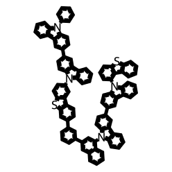 c1ccc(-n2c3ccccc3c3cc(-c4ccc5c(c4)c4ccccc4n5-c4ccc5sc6cc(-c7cccc(-c8cc(-n9c%10ccccc%10c%10cc(-c%11ccc%12c(c%11)c%11ccccc%11n%12-c%11cccc%12sc%13ccccc%13c%11%12)ccc%109)c9ccccc9c8)c7)ccc6c5c4)ccc32)cc1